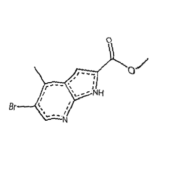 COC(=O)c1cc2c(C)c(Br)cnc2[nH]1